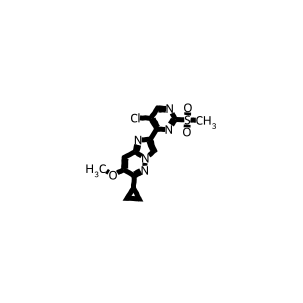 COc1cc2nc(-c3nc(S(C)(=O)=O)ncc3Cl)cn2nc1C1CC1